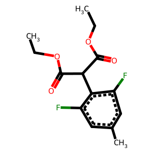 CCOC(=O)C(C(=O)OCC)c1c(F)cc(C)cc1F